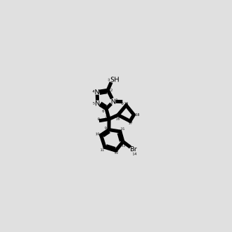 Cn1c(S)nnc1C(C)(c1cccc(Br)c1)C1CCC1